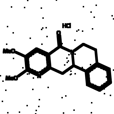 COc1cc2c(nc1OC)CC1c3ccccc3CCN1C2=O.Cl